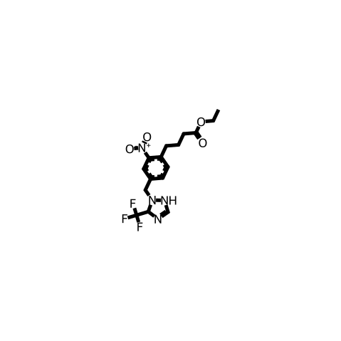 CCOC(=O)CCCc1ccc(CN2NC=NC2C(F)(F)F)cc1[N+](=O)[O-]